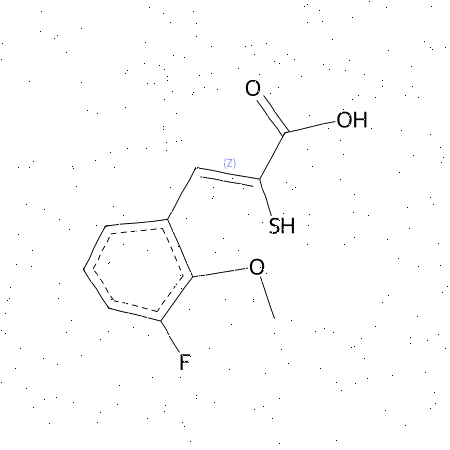 COc1c(F)cccc1/C=C(\S)C(=O)O